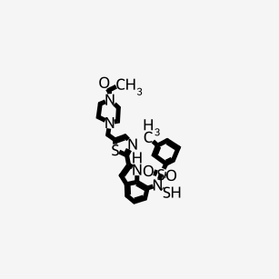 CC(=O)N1CCN(Cc2cnc(-c3cc4cccc(N(S)S(=O)(=O)c5cccc(C)c5)c4[nH]3)s2)CC1